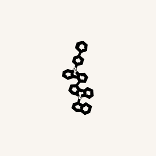 c1cccc(-c2ccc(-n3c4ccccc4c4c(-c5cccc6c5c5ccccc5n6-c5cccc6ccccc56)cccc43)cc2)c#1